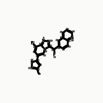 Cc1cc(-c2cc(F)c3nnc(C(F)c4ccc5ncccc5c4)n3c2)sn1